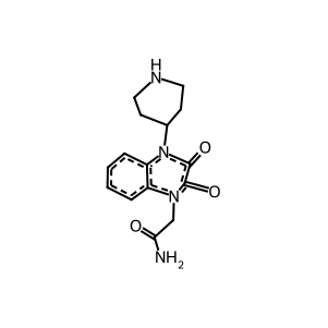 NC(=O)Cn1c(=O)c(=O)n(C2CCNCC2)c2ccccc21